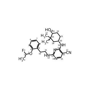 CC(F)Oc1ccccc1CCNc1ncc(C#N)c(N[C@@H]2CC[C@H](O)C(C)(C)C2)n1